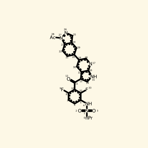 CCCS(=O)(=O)Nc1ccc(F)c(C(=O)c2c[nH]c3ncc(-c4ccc5c(cnn5C(C)=O)c4)cc23)c1F